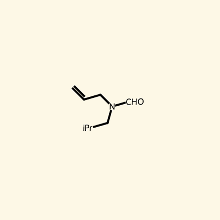 C=CCN(C=O)CC(C)C